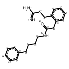 N=C(N)SCc1ccccc1CC(=O)NCCCCc1ccccc1